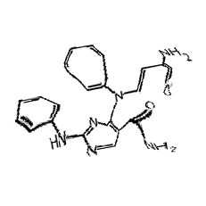 NC(=O)C=CN(c1ccccc1)c1nc(Nc2ccccc2)ncc1C(N)=O